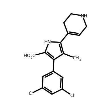 Cc1c(C2=CCNCC2)[nH]c(C(=O)O)c1-c1cc(Cl)cc(Cl)c1